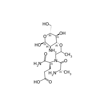 CC(CN(C(=O)[C@H](C)N)[C@@H](CCC(=O)O)C(N)=O)O[C@@H]1[C@@H](N)[C@@H](O)O[C@H](CO)[C@H]1O